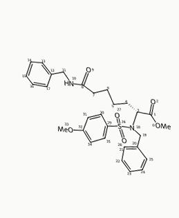 COC(=O)[C@@H](CCCCC(=O)NCc1ccccc1)N(Cc1ccccc1)S(=O)(=O)c1ccc(OC)cc1